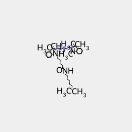 CC(C)CCCCCCNC(=O)CCCCC[N+]1=C(/C=C/C=C/C=C2\N(C)c3ccccc3C2(C)C)C(C)(C)c2ccccc21